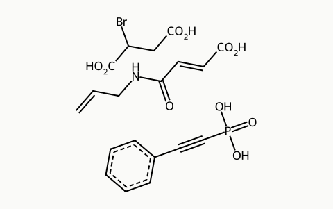 C=CCNC(=O)C=CC(=O)O.O=C(O)CC(Br)C(=O)O.O=P(O)(O)C#Cc1ccccc1